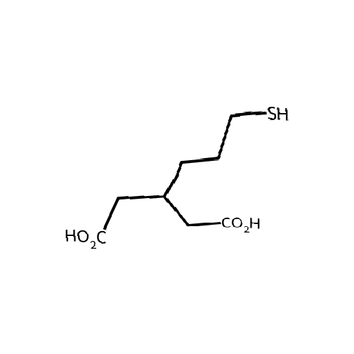 O=C(O)CC(CCCS)CC(=O)O